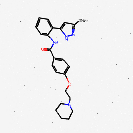 CC(=O)Nc1cc(-c2ccccc2NC(=O)c2ccc(OCCN3CCCCC3)cc2)[nH]n1